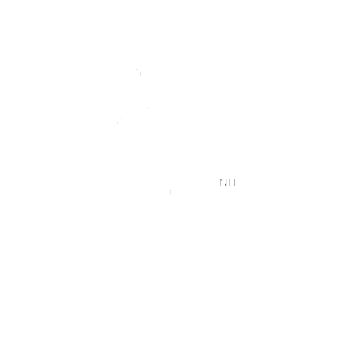 C=C1CC1CC(=O)Nc1ccc(Br)c(C(=O)OC)c1